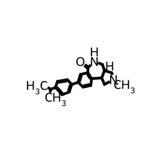 CC(C)c1ccc(-c2ccc3c(c2)C(=O)NC[C@H]2CN(C)CC32)cc1